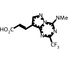 CNc1nc(C(F)(F)F)nc2c(/C=C/C(=O)O)cnn12